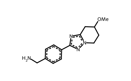 COC1CCn2nc(-c3ccc(CN)cc3)nc2C1